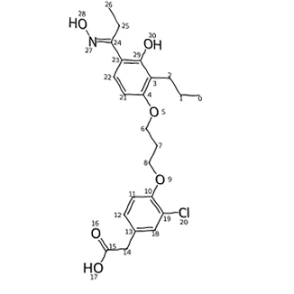 CCCc1c(OCCCOc2ccc(CC(=O)O)cc2Cl)ccc(C(CC)=NO)c1O